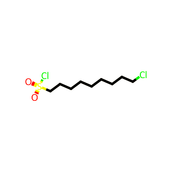 O=S(=O)(Cl)CCCCCCCCCCl